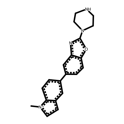 Cn1ccc2cc(-c3ccc4oc(N5CCNCC5)nc4c3)ccc21